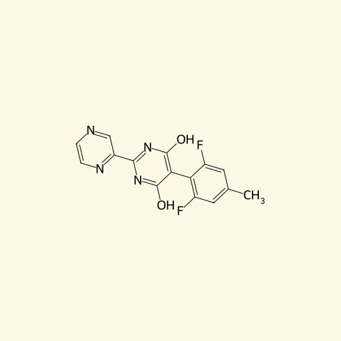 Cc1cc(F)c(-c2c(O)nc(-c3cnccn3)nc2O)c(F)c1